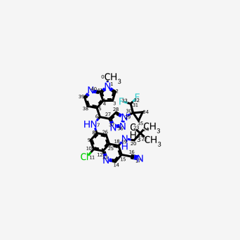 Cn1ccc2c(C(Nc3cc(Cl)c4ncc(C#N)c(NCC(C)(C)C)c4c3)c3cn(C4(C(F)F)CC4)nn3)ccnc21